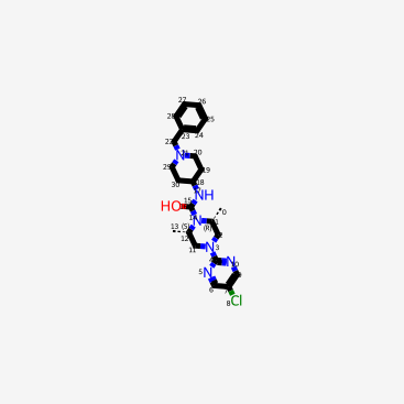 C[C@@H]1CN(c2ncc(Cl)cn2)C[C@H](C)N1C(O)NC1CCN(Cc2ccccc2)CC1